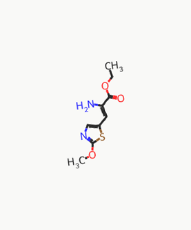 CCOC(=O)/C(N)=C/c1cnc(OC)s1